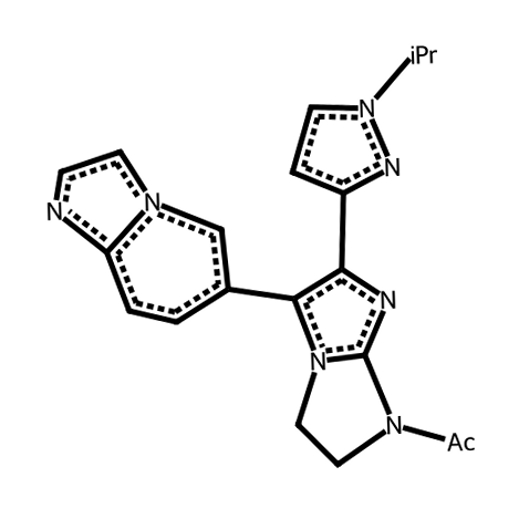 CC(=O)N1CCn2c1nc(-c1ccn(C(C)C)n1)c2-c1ccc2nccn2c1